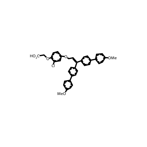 COc1ccc(-c2ccc(C(=CCOc3ccc(OCC(=O)O)c(Cl)c3)c3ccc(-c4ccc(OC)cc4)cc3)cc2)cc1